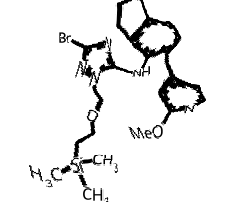 COc1cc(-c2ccc3c(c2Nc2nc(Br)nn2COCC[Si](C)(C)C)CCC3)ccn1